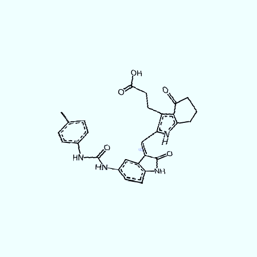 Cc1ccc(NC(=O)Nc2ccc3c(c2)/C(=C/c2[nH]c4c(c2CCC(=O)O)C(=O)CCC4)C(=O)N3)cc1